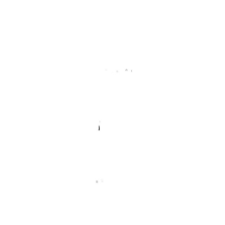 CCCCCC[C@]1(C(F)(F)F)CC[C@@H](C2CCC(CCCC)CC2)CC1